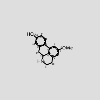 COc1cc2c3c(c1)-c1ccc(O)cc1CC3NCC2